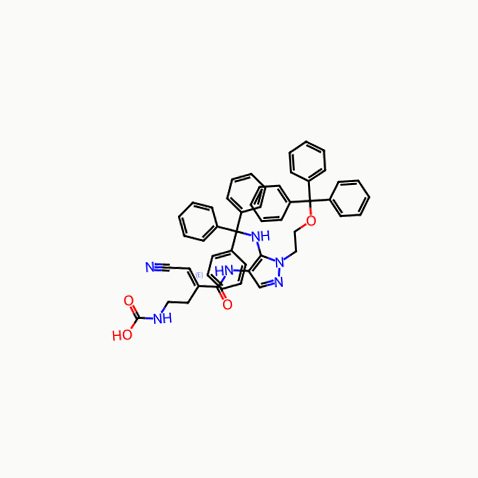 N#C/C=C(\CCNC(=O)O)C(=O)Nc1cnn(CCOC(c2ccccc2)(c2ccccc2)c2ccccc2)c1NC(c1ccccc1)(c1ccccc1)c1ccccc1